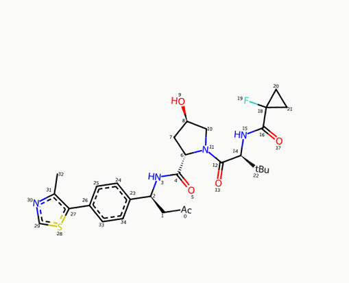 CC(=O)C[C@H](NC(=O)[C@@H]1C[C@@H](O)CN1C(=O)[C@@H](NC(=O)C1(F)CC1)C(C)(C)C)c1ccc(-c2scnc2C)cc1